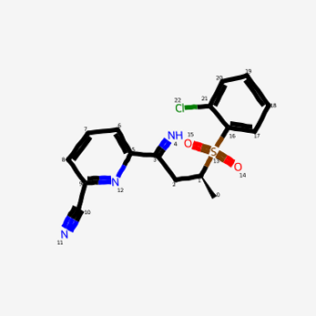 C[C@@H](CC(=N)c1cccc(C#N)n1)S(=O)(=O)c1ccccc1Cl